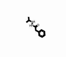 CC(C)NNC(=O)Cc1ccccc1